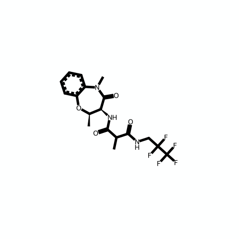 CC(C(=O)NCC(F)(F)C(F)(F)F)C(=O)N[C@@H]1C(=O)N(C)c2ccccc2O[C@@H]1C